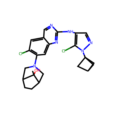 CC1(O)C2CCC1CN(c1cc3nc(Nc4cnn(C56CC(C5)C6)c4Cl)ncc3cc1Cl)C2